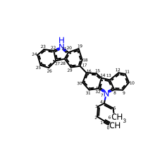 C#C/C=C\C(=C/C)n1c2ccccc2c2cc(-c3ccc4[nH]c5ccccc5c4c3)ccc21